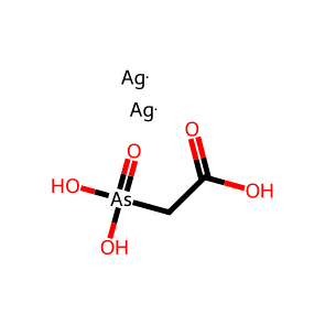 O=C(O)C[As](=O)(O)O.[Ag].[Ag]